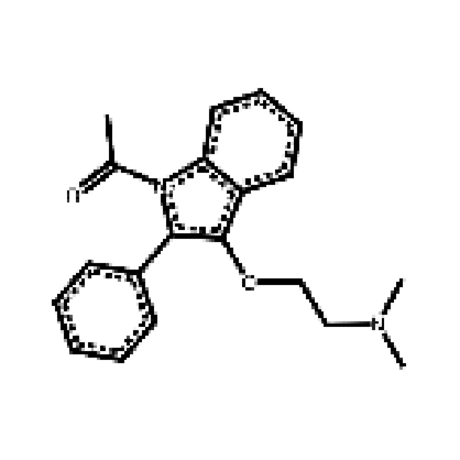 CC(=O)n1c(-c2ccccc2)c(OCCN(C)C)c2ccccc21